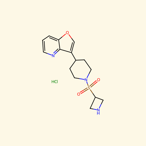 Cl.O=S(=O)(C1CNC1)N1CCC(c2coc3cccnc23)CC1